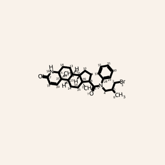 CC(CBr)CN(C(=O)C1CC[C@H]2[C@@H]3CCC4NC(=O)C=C[C@]4(C)[C@@H]3CC[C@]12C)c1ccccc1